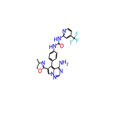 CC1COC(c2cn3ncnc(N)c3c2-c2ccc(NC(=O)Nc3cc(C(F)(F)F)ccn3)cc2)=N1